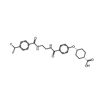 O=C(NCCNC(=O)c1ccc(C(F)F)cc1)c1ccc(O[C@H]2CC[C@@H](C(=O)O)CC2)cc1